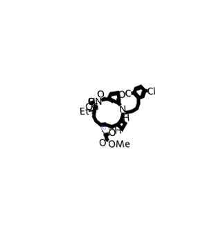 CC[C@@H]1CC/C=C/[C@H](O[C@@H](C)C(=O)OC)[C@@H]2CC[C@H]2CN2CCCCc3cc(Cl)ccc3COc3ccc(cc32)C(=O)NS1(=O)=O